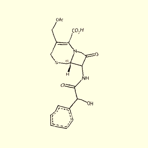 CC(=O)OCC1=C(C(=O)O)N2C(=O)C(NC(=O)C(O)c3ccccc3)[C@@H]2SC1